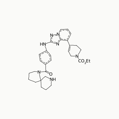 CCOC(=O)N1CC=C(c2cccn3nc(Nc4ccc(C(=O)N5CCCCC56CCCNC6)cc4)nc23)CC1